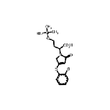 CC(C)(C)[Si](C)(C)OCCC(C(=O)O)N1CC(Oc2ccccc2Cl)=CC1=O